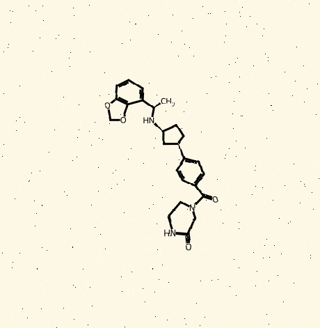 C[C@@H](N[C@H]1CC[C@@H](c2ccc(C(=O)N3CCNC(=O)C3)cc2)C1)c1cccc2c1OCO2